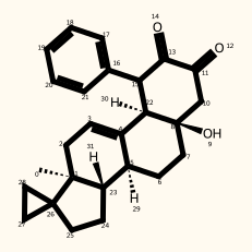 C[C@]12CC=C3[C@@H](CC[C@@]4(O)CC(=O)C(=O)C(c5ccccc5)[C@H]34)[C@@H]1CCC21CC1